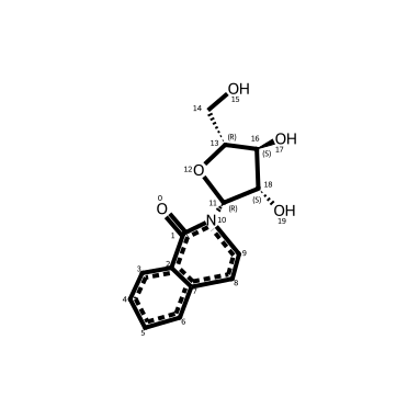 O=c1c2ccccc2ccn1[C@@H]1O[C@H](CO)[C@@H](O)[C@@H]1O